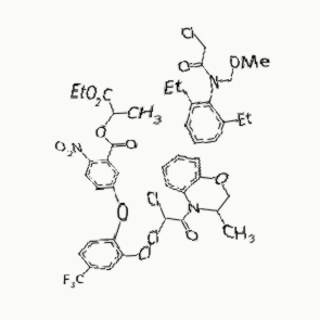 CC1COc2ccccc2N1C(=O)C(Cl)Cl.CCOC(=O)C(C)OC(=O)c1cc(Oc2ccc(C(F)(F)F)cc2Cl)ccc1[N+](=O)[O-].CCc1cccc(CC)c1N(COC)C(=O)CCl